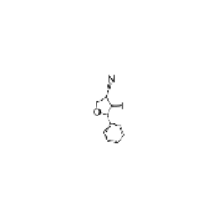 N#CC1COC(c2ccccc2)C1I